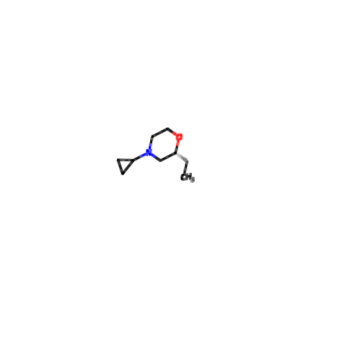 CC[C@@H]1CN(C2CC2)CCO1